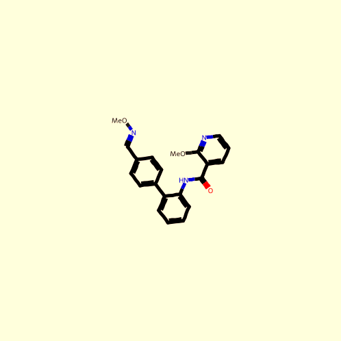 CO/N=C/c1ccc(-c2ccccc2NC(=O)c2cccnc2OC)cc1